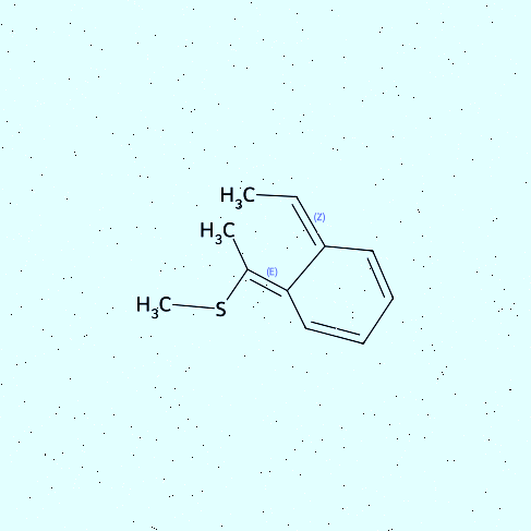 C/C=c1/cccc/c1=C(/C)SC